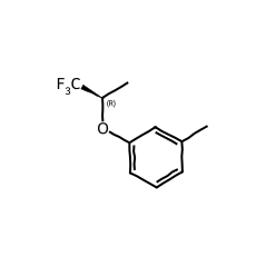 Cc1cccc(O[C@H](C)C(F)(F)F)c1